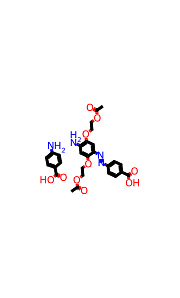 CC(=O)OCCOc1cc(N=Nc2ccc(C(=O)O)cc2)c(OCCOC(C)=O)cc1N.Nc1ccc(C(=O)O)cc1